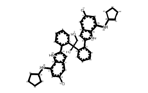 OCC(O)(c1ccccc1-c1cc2cc(Cl)cc(NC3CCCC3)c2[nH]1)c1ccccc1-c1cc2cc(Cl)cc(NC3CCCC3)c2[nH]1